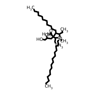 CCCCCCCCCCCCCCCCOC(CC)C(CCCCCCCCCCC)C(CC(O)CO)(C(N)=O)C(CC)OC